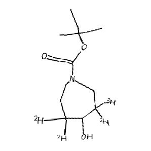 [2H]C1([2H])CN(C(=O)OC(C)(C)C)CC([2H])([2H])C1O